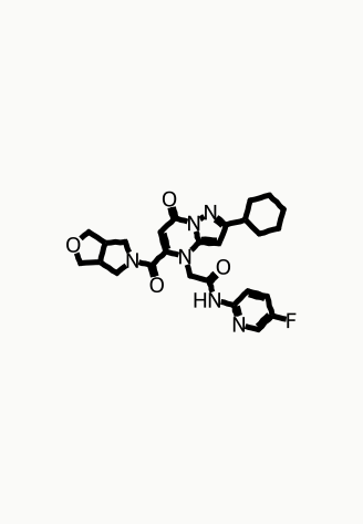 O=C(Cn1c(C(=O)N2CC3COCC3C2)cc(=O)n2nc(C3CCCCC3)cc12)Nc1ccc(F)cn1